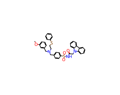 COc1cccc(CN(CCSc2ccccc2)Cc2ccc(S(=O)(=O)NC(=O)Cn3c4ccccc4c4ccccc43)cc2)c1